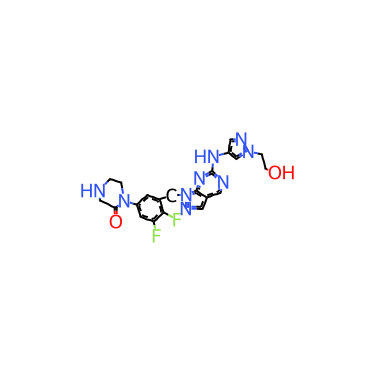 O=C1CNCCN1c1cc(F)c(F)c(Cn2ncc3cnc(Nc4cnn(CCO)c4)nc32)c1